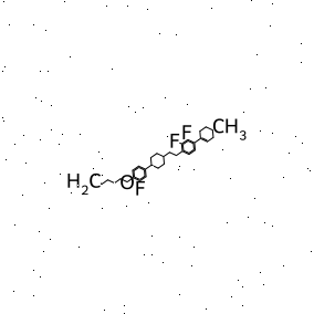 C=CCCCOc1ccc(C2CCC(CCc3ccc(C4=CCC(C)CC4)c(F)c3F)CC2)cc1F